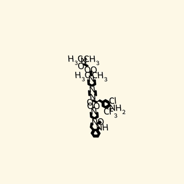 CN(C)C(=O)COC(=O)C(C)(C)N1CCC(N2CCN(C(=O)[C@@H](Cc3cc(Cl)c(N)c(C(F)(F)F)c3)OC(=O)N3CCC(N4CCc5ccccc5NC4=O)CC3)CC2)CC1